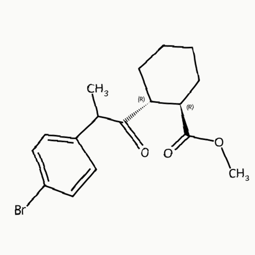 COC(=O)[C@@H]1CCCC[C@H]1C(=O)C(C)c1ccc(Br)cc1